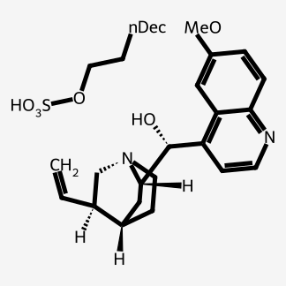 C=C[C@H]1C[N@]2CC[C@H]1C[C@H]2[C@H](O)c1ccnc2ccc(OC)cc12.CCCCCCCCCCCCOS(=O)(=O)O